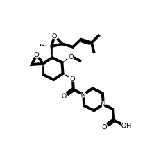 CO[C@@H]1[C@H](OC(=O)N2CCN(CC(=O)O)CC2)CC[C@]2(CO2)[C@H]1[C@@]1(C)OC1CC=C(C)C